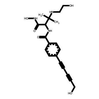 CC(C)(NCCO)C(NC(=O)c1ccc(C#CC#CCO)cc1)C(=O)NO